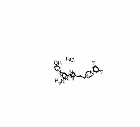 Cc1c(C=CCN2CCN(c3cc(F)cc(F)c3)CC2)cnn1-c1cc(N2CC[C@H](O)C2)nc(N)n1.Cl